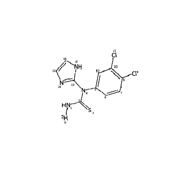 [2H]NC(=S)N(c1ccc(Cl)c(Cl)c1)c1ncc[nH]1